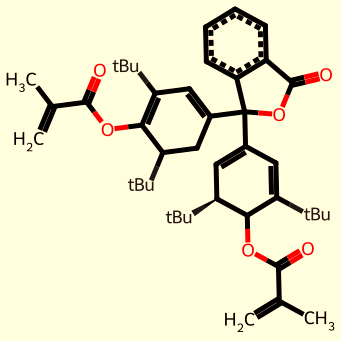 C=C(C)C(=O)OC1=C(C(C)(C)C)C=C(C2(C3=C[C@H](C(C)(C)C)C(OC(=O)C(=C)C)C(C(C)(C)C)=C3)OC(=O)c3ccccc32)CC1C(C)(C)C